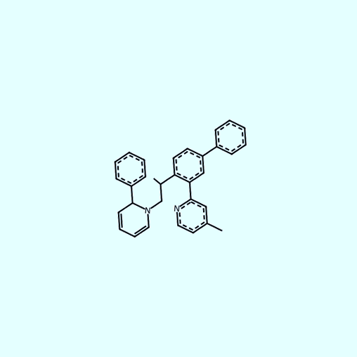 Cc1ccnc(-c2cc(-c3ccccc3)ccc2C(C)CN2C=CC=CC2c2ccccc2)c1